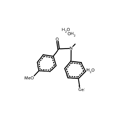 COc1ccc(C(=O)N(C)c2cc[c]([Ge])cc2)cc1.O.O.O